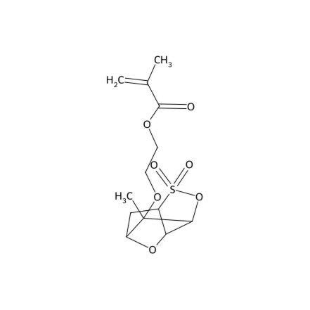 C=C(C)C(=O)OCCOC1(C)C2CC3C(O2)C1OS3(=O)=O